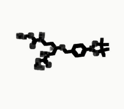 CC(C)(C)OC(=O)NCC[C@H](CNC(=O)OC(C)(C)C)OCc1ccc(B2OC(C)(C)C(C)(C)O2)cc1